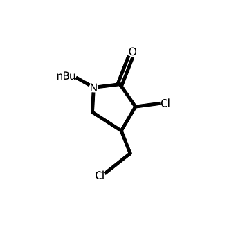 CCCCN1CC(CCl)C(Cl)C1=O